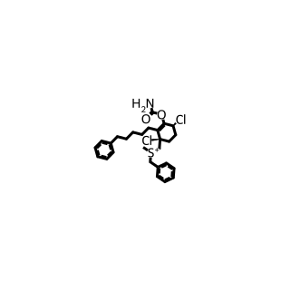 C[S+](Cc1ccccc1)C[C@@]1(Cl)CC[C@H](Cl)C(OC(N)=O)=C1CCCCCc1ccccc1